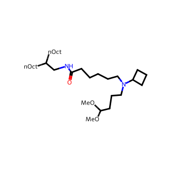 CCCCCCCCC(CCCCCCCC)CNC(=O)CCCCCN(CCCC(OC)OC)C1CCC1